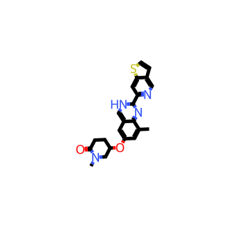 Cc1cc(OC2CCC(=O)N(C)C2)cc2c1=NC(c1cc3sccc3cn1)NC=2